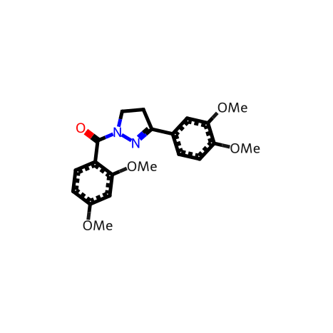 COc1ccc(C(=O)N2CCC(c3ccc(OC)c(OC)c3)=N2)c(OC)c1